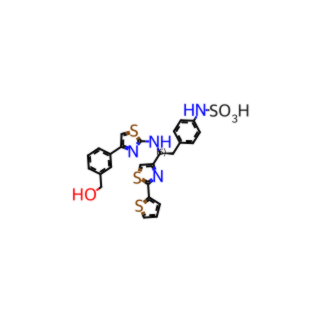 O=S(=O)(O)Nc1ccc(C[C@H](Nc2nc(-c3cccc(CO)c3)cs2)c2csc(-c3cccs3)n2)cc1